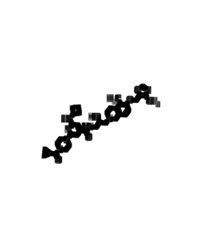 Cc1ncoc1COc1ccc2c(c1C)CCN(CC(O)CNC(=O)c1cc(NC3CCC3)nc(N3CCN(C(=O)C4CC4)CC3)c1)C2